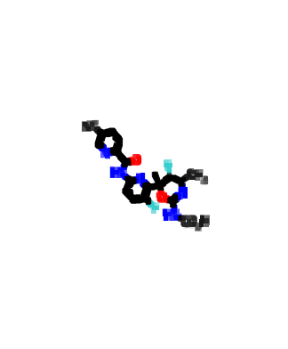 C[C@]1(c2nc(NC(=O)c3ccc(C#N)cn3)ccc2F)OC(NC(=O)O)=N[C@H](C(F)(F)F)[C@H]1F